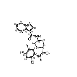 Cc1cc(N(C)C(=O)[C@H]2CC[C@H](NC(=O)c3cnn4cccnc34)CC2)c(Cl)cc1F